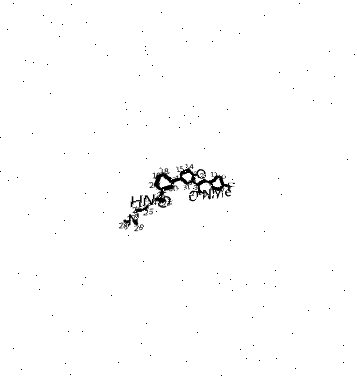 CNC(=O)c1c(-c2ccc(F)cc2)oc2ccc(-c3cccc(C(=O)NCCN(C)C)c3)cc12